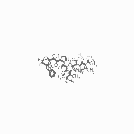 CC[C@H](C)[C@@H](C(CC(=O)N1CCC[C@H]1[C@H](OC)[C@@H](C)C(=O)N[C@@H](Cc1ccccc1)C(=O)O)OC)N(C)C(=O)[C@@H](NC(=O)[C@H](C(C)C)N(C)C)C(C)C